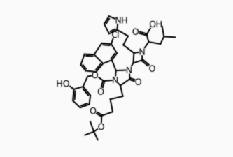 CC(C)CC(C(=O)O)N1C(=O)C(N2C(=O)C(CCCC(=O)OC(C)(C)C)N(C(=O)OCc3ccccc3O)C2c2cc(Cl)cc3ccccc23)C1CCc1ccc[nH]1